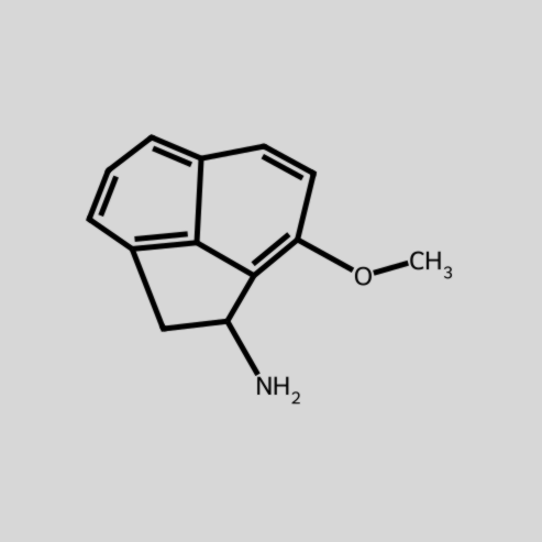 COc1ccc2cccc3c2c1C(N)C3